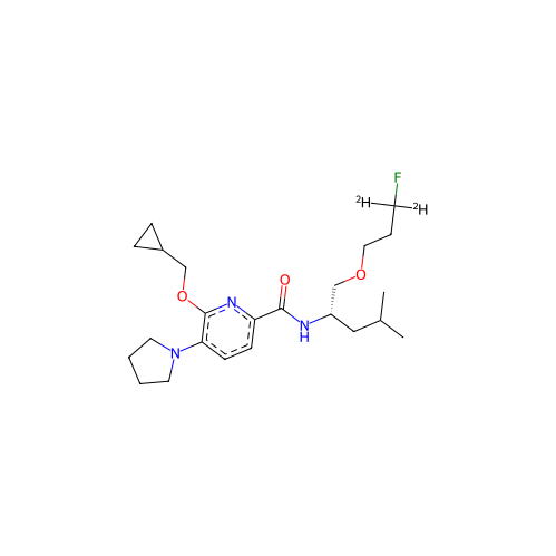 [2H]C([2H])(F)CCOC[C@H](CC(C)C)NC(=O)c1ccc(N2CCCC2)c(OCC2CC2)n1